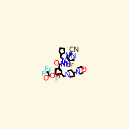 N#Cc1ncc(Br)c(N(CC2CCCC2)NC(=O)c2ccc(F)c(CN3CCC(N4CCOCC4)CC3)c2)n1.O=C(O)C(F)(F)F